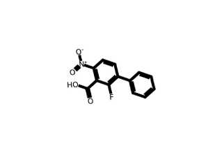 O=C(O)c1c([N+](=O)[O-])ccc(-c2ccccc2)c1F